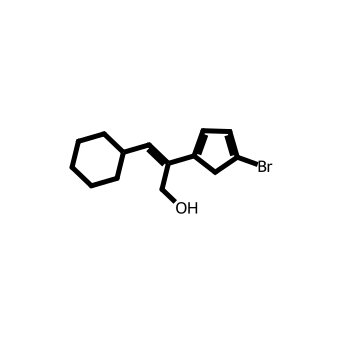 OCC(=CC1CCCCC1)C1=CC=C(Br)C1